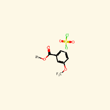 CC(C)OC(=O)c1cccc(OC(F)(F)F)c1.O=S(=O)(Cl)Cl